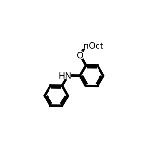 CCCCCCCCOc1ccccc1Nc1ccccc1